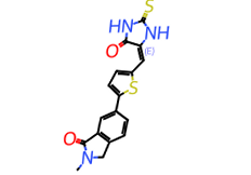 CN1Cc2ccc(-c3ccc(/C=C4/NC(=S)NC4=O)s3)cc2C1=O